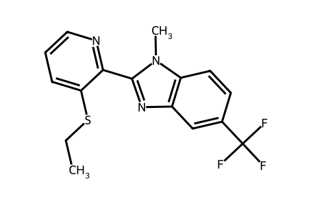 CCSc1cccnc1-c1nc2cc(C(F)(F)F)ccc2n1C